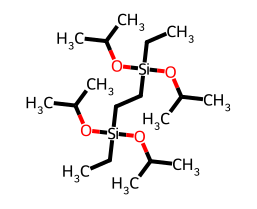 CC[Si](CC[Si](CC)(OC(C)C)OC(C)C)(OC(C)C)OC(C)C